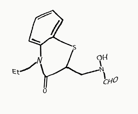 CCN1C(=O)C(CN(O)C=O)Sc2ccccc21